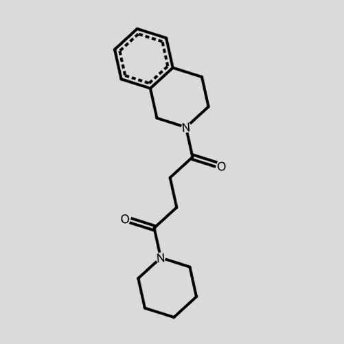 O=C(CCC(=O)N1CCc2ccccc2C1)N1CCCCC1